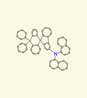 c1ccc(C2(c3ccccc3)c3ccccc3C3(c4ccccc4-c4cc(N(c5cccc6ccccc56)c5cccc6ccccc56)ccc43)c3ccccc32)cc1